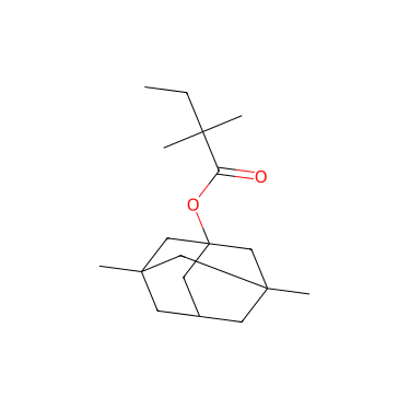 CCC(C)(C)C(=O)OC12CC3CC(C)(CC(C)(C3)C1)C2